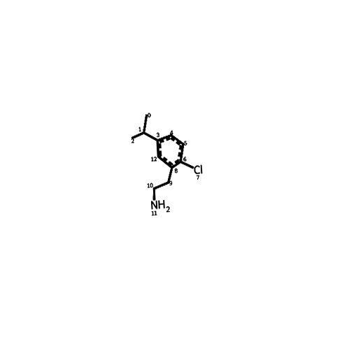 CC(C)c1ccc(Cl)c(CCN)c1